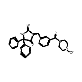 N=C1NC(c2ccccc2)(c2ccccc2)C(=O)N1Cc1cccc(C(=O)N2CC[S+]([O-])CC2)c1